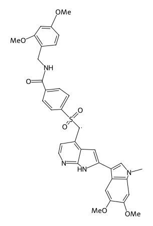 COc1ccc(CNC(=O)c2ccc(S(=O)(=O)[CH]c3ccnc4[nH]c(-c5cn(C)c6cc(OC)c(OC)cc56)cc34)cc2)c(OC)c1